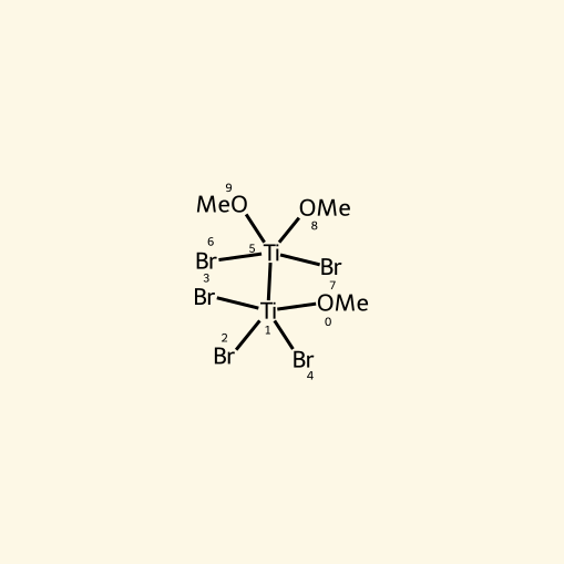 C[O][Ti]([Br])([Br])([Br])[Ti]([Br])([Br])([O]C)[O]C